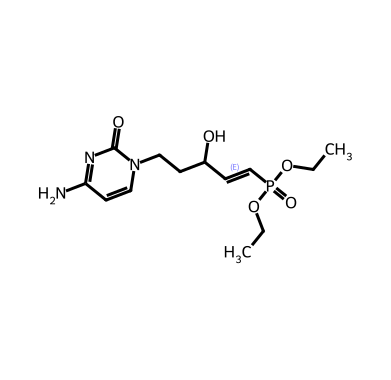 CCOP(=O)(/C=C/C(O)CCn1ccc(N)nc1=O)OCC